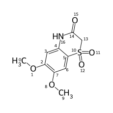 COc1cc2c(cc1OC)S(=O)(=O)CC(=O)N2